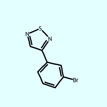 Brc1cccc(-c2cnsn2)c1